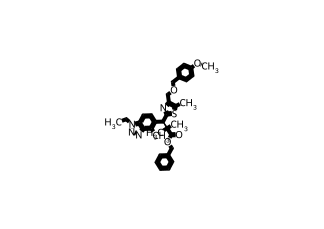 CCn1nnc2c(C)c([C@@H](c3nc(COCc4ccc(OC)cc4)c(C)s3)C(C)(C)C(=O)OCc3ccccc3)ccc21